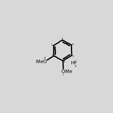 COc1ccccc1OC.F